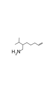 C=CCCCC(CN)C(C)C